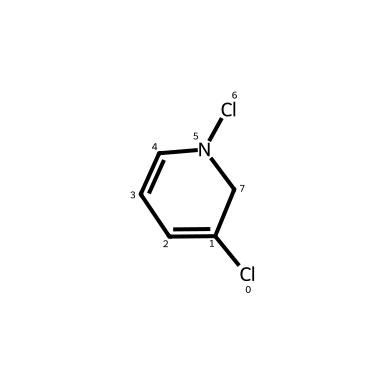 ClC1=CC=CN(Cl)C1